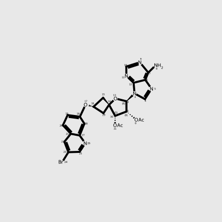 CC(=O)O[C@H]1[C@H](n2cnc3c(N)ncnc32)O[C@]2(C[C@@H](Oc3ccc4cc(Br)cnc4c3)C2)[C@H]1OC(C)=O